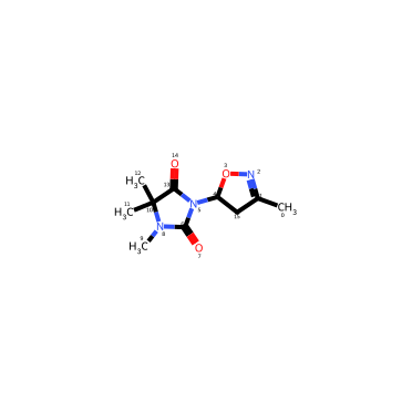 CC1=NOC(N2C(=O)N(C)C(C)(C)C2=O)C1